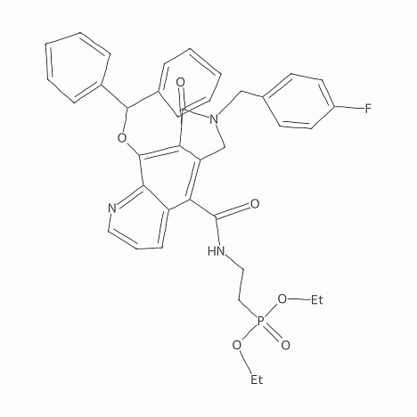 CCOP(=O)(CCNC(=O)c1c2c(c(OC(c3ccccc3)c3ccccc3)c3ncccc13)C(=O)N(Cc1ccc(F)cc1)C2)OCC